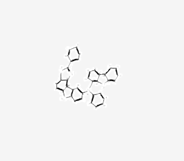 c1ccc(-c2nc3c(ccc4oc5ccc(N(c6ccccc6)c6cccc7c6oc6ccccc67)cc5c43)o2)cc1